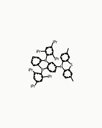 Cc1ccc2c(c1)Sc1cc(C)ccc1N2c1ccc2c(c1)B(c1c(C(C)C)cc(C(C)C)cc1C(C)C)c1ccccc1B2c1c(C(C)C)cc(C(C)C)cc1C(C)C